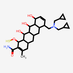 CC1=C(C(N)=O)C(OS)C2C(C1)CC1CC3C(CN(CC4CC4)CC4CC4)C=CC(O)C3C(O)C1C2O